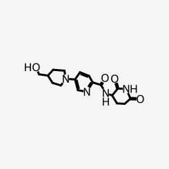 O=C1CCC(NC(=O)c2ccc(N3CCC(CO)CC3)cn2)C(=O)N1